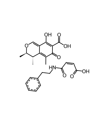 CC1=C2C(=CO[C@H](C)[C@H]2C)C(O)=C(C(=O)O)C1=O.O=C(O)/C=C\C(=O)NCCc1ccccc1